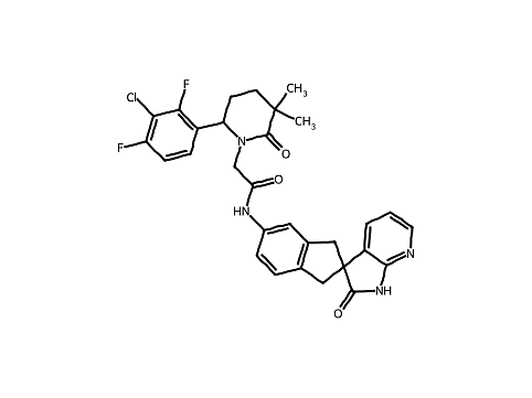 CC1(C)CCC(c2ccc(F)c(Cl)c2F)N(CC(=O)Nc2ccc3c(c2)CC2(C3)C(=O)Nc3ncccc32)C1=O